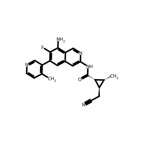 Cc1ccncc1-c1cc2cc(NC(=O)[C@@H]3[C@H](C)[C@H]3CC#N)ncc2c(N)c1F